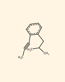 CC#Cc1ccccc1CC(C)C